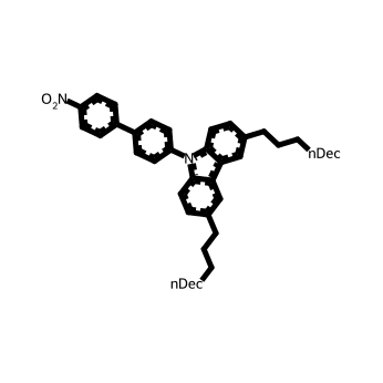 CCCCCCCCCCCCCc1ccc2c(c1)c1cc(CCCCCCCCCCCCC)ccc1n2-c1ccc(-c2ccc([N+](=O)[O-])cc2)cc1